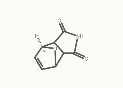 O=C1NC(=O)C2C1C1C=C[C@@H]2O1